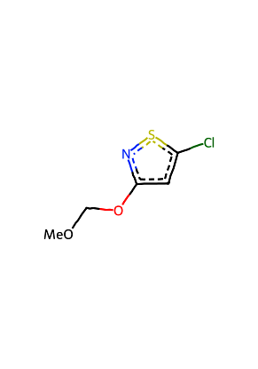 COCOc1cc(Cl)sn1